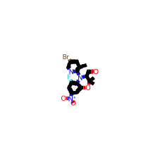 Cc1cc(Br)cnc1N1c2c(F)cc([N+](=O)[O-])cc2OC(C)(C)C1C=O